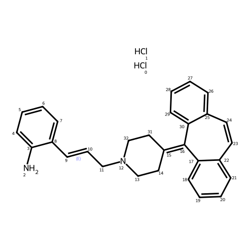 Cl.Cl.Nc1ccccc1/C=C/CN1CCC(=C2c3ccccc3C=Cc3ccccc32)CC1